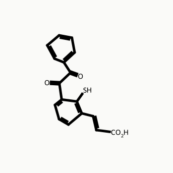 O=C(O)C=Cc1cccc(C(=O)C(=O)c2ccccc2)c1S